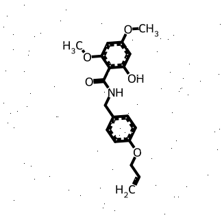 C=CCOc1ccc(CNC(=O)c2c(O)cc(OC)cc2OC)cc1